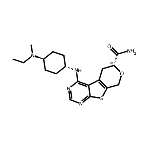 CCN(C)[C@H]1CC[C@H](Nc2ncnc3sc4c(c23)C[C@H](C(N)=O)OC4)CC1